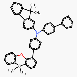 CC1(C)c2ccccc2-c2ccc(N(c3ccc(-c4ccccc4)cc3)c3ccc(-c4cccc5c4Oc4ccccc4[Si]5(C)C)cc3)cc21